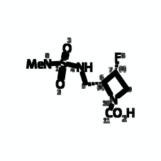 CNS(=O)(=O)NC[C@@H]1[C@H](F)CN1C(=O)O